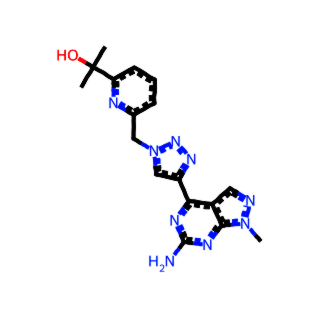 Cn1ncc2c(-c3cn(Cc4cccc(C(C)(C)O)n4)nn3)nc(N)nc21